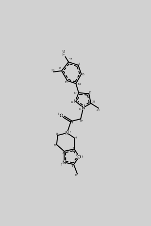 Cc1nc2c(o1)CN(C(=O)Cn1nc(-c3ccc(F)c(C)c3)cc1C)CC2